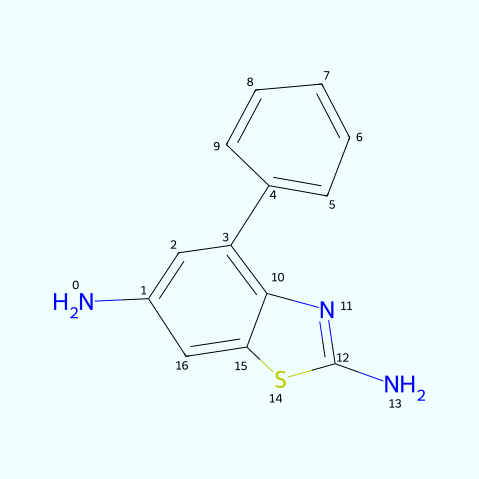 Nc1cc(-c2ccccc2)c2nc(N)sc2c1